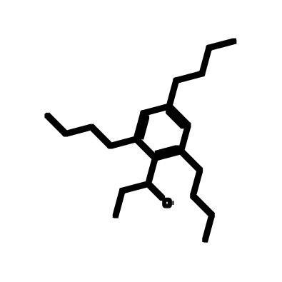 CCCCc1cc(CCCC)c(C([O])CC)c(CCCC)c1